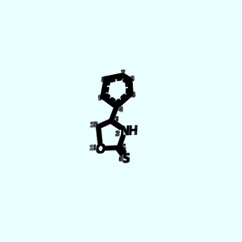 S=C1NC(c2ccccc2)CO1